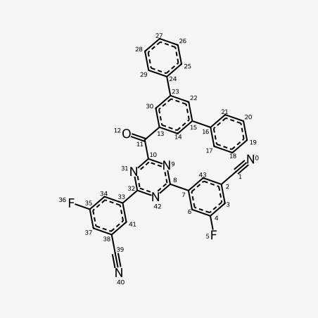 N#Cc1cc(F)cc(-c2nc(C(=O)c3cc(-c4ccccc4)cc(-c4ccccc4)c3)nc(-c3cc(F)cc(C#N)c3)n2)c1